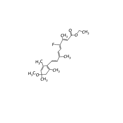 CCOC(=O)C=C(C)C(F)=CC=C(C)C=CC1=C(C)CC(C)(OC)C=C1C